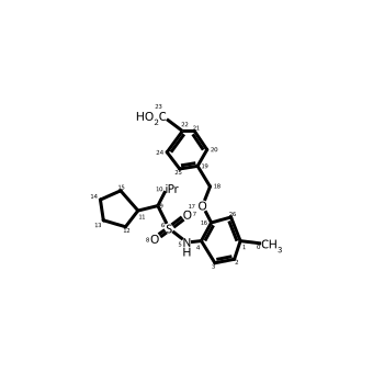 Cc1ccc(NS(=O)(=O)C(C(C)C)C2CCCC2)c(OCc2ccc(C(=O)O)cc2)c1